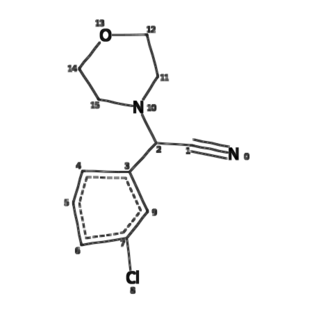 N#CC(c1cccc(Cl)c1)N1CCOCC1